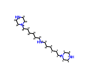 C(CCCN1CCNCC1)CCNCCCCCCN1CCNCC1